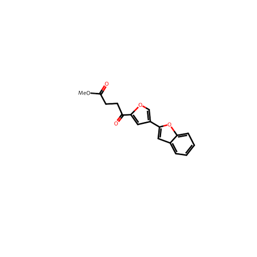 COC(=O)CCC(=O)c1cc(-c2cc3ccccc3o2)co1